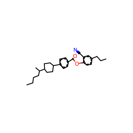 CCCCC(C)C1CCC(c2ccc(C(=O)Oc3ccc(CCC)cc3C#N)cc2)CC1